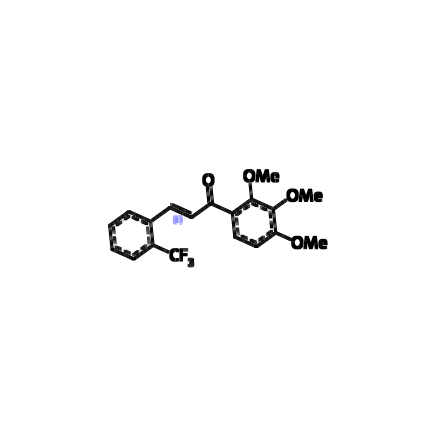 COc1ccc(C(=O)/C=C/c2ccccc2C(F)(F)F)c(OC)c1OC